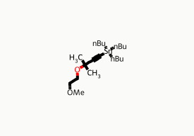 CCC[CH2][Sn]([C]#CC(C)(C)OCCOC)([CH2]CCC)[CH2]CCC